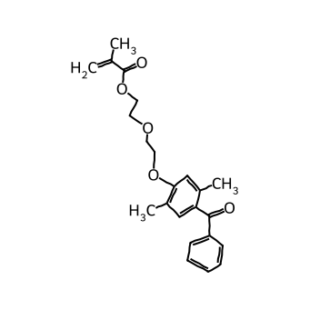 C=C(C)C(=O)OCCOCCOc1cc(C)c(C(=O)c2ccccc2)cc1C